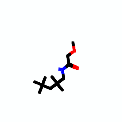 COCC(=O)NCC(C)(C)CC(C)(C)C